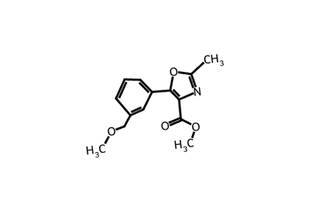 COCc1cccc(-c2oc(C)nc2C(=O)OC)c1